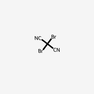 N#CC(Br)(Br)C#N